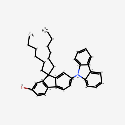 CCCCCCC1(CCCCCC)c2cc(Br)ccc2-c2ccc(-n3c4ccccc4c4ccccc43)cc21